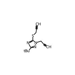 C#CCSc1nc(C(C)(C)C)nn1CC#C